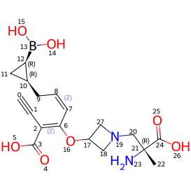 C#C/C(C(=O)O)=C(\C=C/C[C@H]1C[C@H]1B(O)O)OC1CN(C[C@@](C)(N)C(=O)O)C1